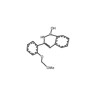 COCOc1ccccc1C1=Cc2ccccc2N(O)N1